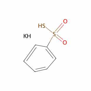 O=S(=O)(S)c1ccccc1.[KH]